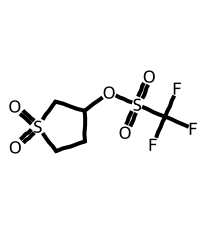 O=S1(=O)CCC(OS(=O)(=O)C(F)(F)F)C1